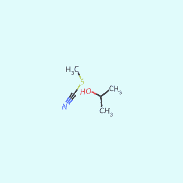 CC(C)O.CSC#N